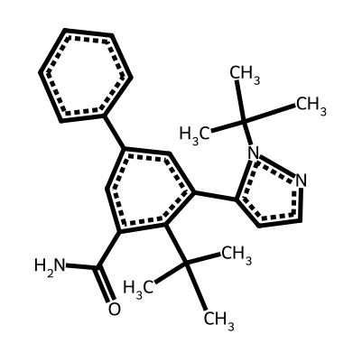 CC(C)(C)c1c(C(N)=O)cc(-c2ccccc2)cc1-c1ccnn1C(C)(C)C